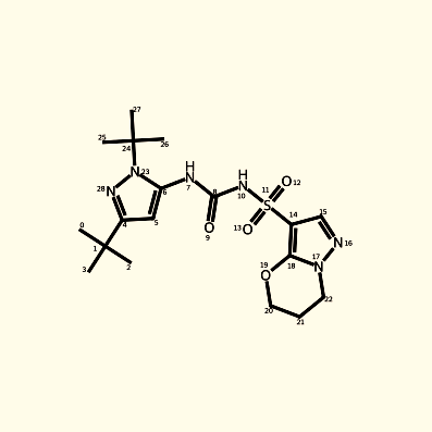 CC(C)(C)c1cc(NC(=O)NS(=O)(=O)c2cnn3c2OCCC3)n(C(C)(C)C)n1